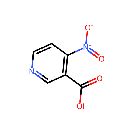 O=C(O)c1cnccc1[N+](=O)[O-]